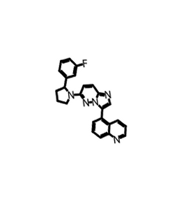 Fc1cccc(C2CCCN2c2ccc3ncc(-c4cccc5ncccc45)n3n2)c1